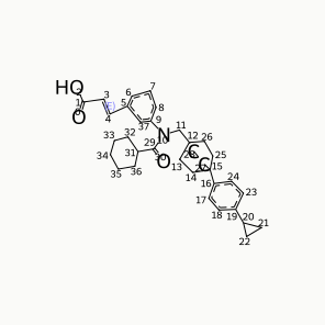 O=C(O)/C=C/c1cccc(N(CC23CCC(c4ccc(C5CC5)cc4)(CC2)CC3)C(=O)C2CCCCC2)c1